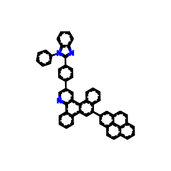 c1ccc(-n2c(-c3ccc(-c4cnc5c6ccccc6c6cc(-c7cc8ccc9cccc%10ccc(c7)c8c9%10)c7ccccc7c6c5c4)cc3)nc3ccccc32)cc1